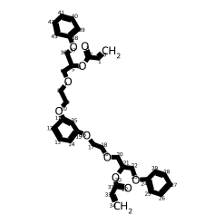 C=CC(=O)OC(COCCOc1cccc(OCCOCC(COc2ccccc2)OC(=O)C=C)c1)COc1ccccc1